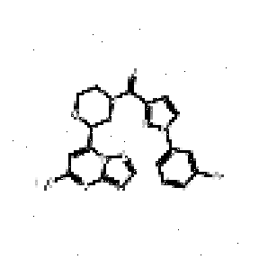 Cc1cc(C2CN(C(=O)c3ccn(-c4cccc(Br)c4)n3)CCO2)n2ncnc2n1